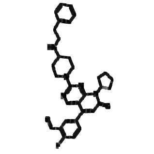 O=Cc1cc(-c2cc(=O)n(C3CCCC3)c3nc(N4CCC(NCCc5ccccc5)CC4)ncc23)ccc1F